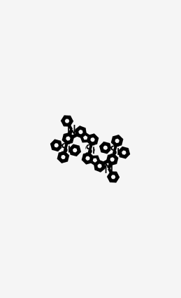 C[Si](C)(c1cccc2c1Cc1c-2ccc2c1c1cc([Si](c3ccccc3)(c3ccccc3)c3ccccc3)ccc1n2-c1ccccc1)c1cccc2c1Cc1c-2ccc2c1c1cc([Si](c3ccccc3)(c3ccccc3)c3ccccc3)ccc1n2-c1ccccc1